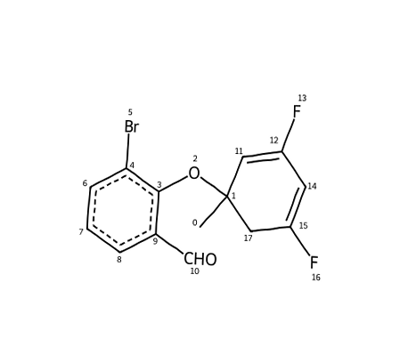 CC1(Oc2c(Br)cccc2C=O)C=C(F)C=C(F)C1